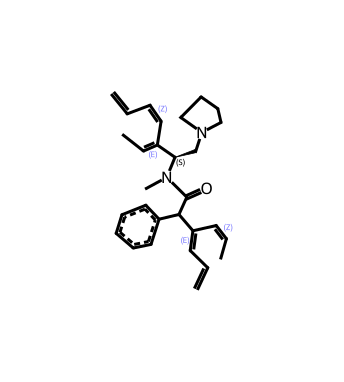 C=C/C=C\C(=C/C)[C@@H](CN1CCCC1)N(C)C(=O)C(C(/C=C\C)=C/C=C)c1ccccc1